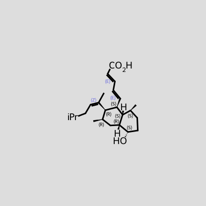 C/C(=C/CC(C)C)[C@H]1[C@@H](/C=C/C=C/C(=O)O)[C@H]2[C@@H](C[C@H]1C)[C@@H](O)CC[C@@H]2C